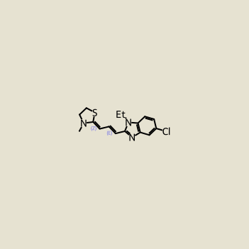 CCn1c(/C=C/C=C2\SCCN2C)nc2cc(Cl)ccc21